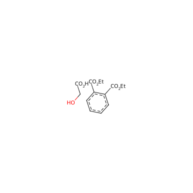 CCOC(=O)c1ccccc1C(=O)OCC.O=C(O)CO